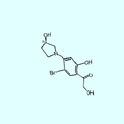 O=C(CO)c1cc(Br)c(N2CC[C@@H](O)C2)cc1O